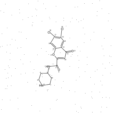 O=C(NC1CCNCC1)c1cc(=O)c2cc(Cl)c(Cl)cc2o1